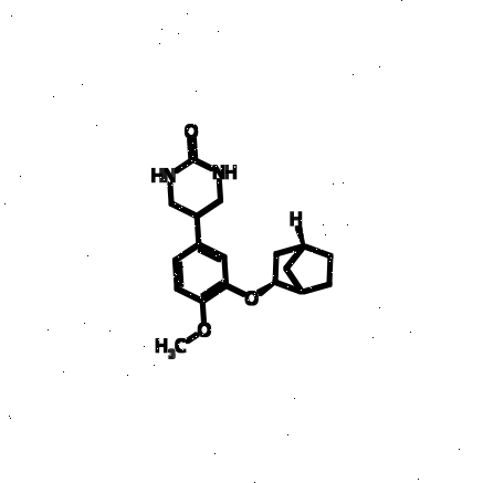 COc1ccc(C2CNC(=O)NC2)cc1O[C@H]1C[C@@H]2CCC1C2